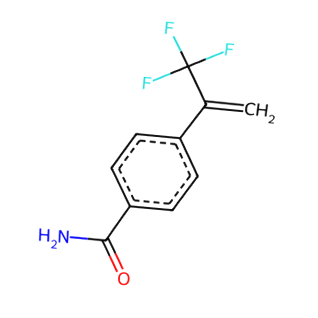 C=C(c1ccc(C(N)=O)cc1)C(F)(F)F